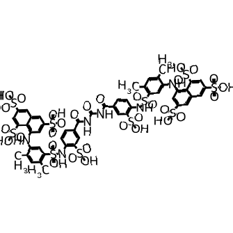 Cc1cc(C)c(S(=O)(=O)Nc2ccc(C(=O)NC(=O)NC(=O)c3ccc(NS(=O)(=O)c4cc(Nc5cc(S(=O)(=O)O)cc6cc(S(=O)(=O)O)cc(S(=O)(=O)O)c56)c(C)cc4C)c(S(=O)(=O)O)c3)cc2S(=O)(=O)O)cc1Nc1cc(S(=O)(=O)O)cc2cc(S(=O)(=O)O)cc(S(=O)(=O)O)c12